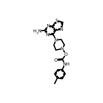 Cc1ccc(NC(=O)ON2CCN(c3nc(N)nc4scnc34)CC2)cc1